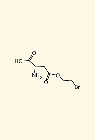 N[C@@H](CC(=O)OCCBr)C(=O)O